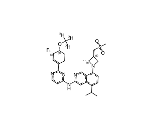 [2H]C([2H])([2H])O[C@@H]1CCC(c2nccc(Nc3cc4c(C(C)C)ccc(N5C[C@H](CS(C)(=O)=O)[C@H]5C)c4cn3)n2)=C[C@@H]1F